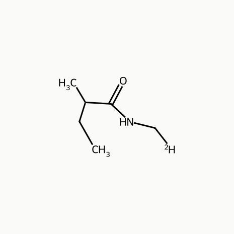 [2H]CNC(=O)C(C)CC